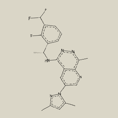 Cc1cc(C)n(-c2cnc3c(C)nnc(N[C@H](C)c4cccc(C(F)F)c4F)c3c2)n1